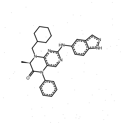 C[C@@H]1C(=O)N(c2ccccc2)c2cnc(Nc3ccc4[nH]ncc4c3)nc2N1CC1CCCCC1